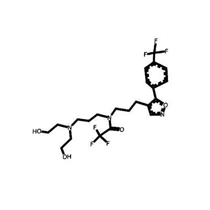 O=C(N(CCCc1cnoc1-c1ccc(C(F)(F)F)cc1)CCCN(CCO)CCO)C(F)(F)F